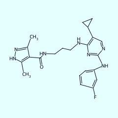 Cc1n[nH]c(C)c1C(=O)NCCCNc1nc(Nc2cccc(F)c2)ncc1C1CC1